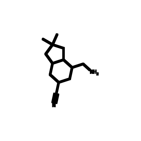 CC1(C)CC2CC(C#N)CC(CN)C2C1